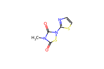 Cn1c(=O)sn(-c2nccs2)c1=O